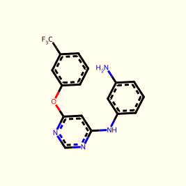 Nc1cccc(Nc2cc(Oc3cccc(C(F)(F)F)c3)ncn2)c1